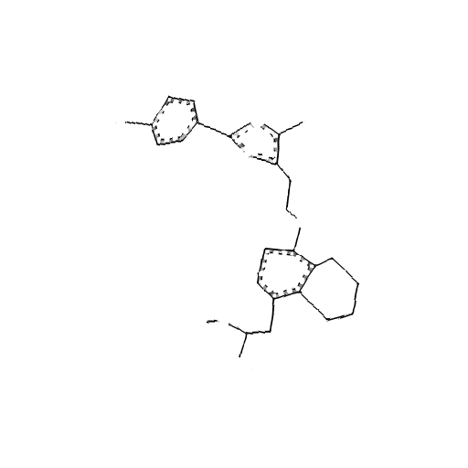 CCOC(Cc1ccc(OCCc2nc(-c3ccc(Cl)cc3)oc2C)c2c1CCCC2)C(=O)O